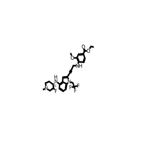 CCOC(=O)c1ccc(NCC#Cc2cc3c(N[C@H]4CCN(C)C[C@@H]4F)cccc3n2CC(F)(F)F)c(OC)c1